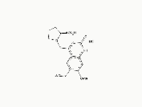 C=Cc1cc2c(ON3CCC[C@H]3C(=O)O)cc(=O)[nH]c2cc1OC.Cl